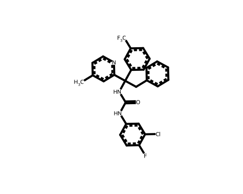 Cc1ccnc(C(Cc2ccccc2)(NC(=O)Nc2ccc(F)c(Cl)c2)c2cccc(C(F)(F)F)c2)c1